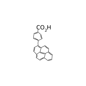 O=C(O)c1ccc(-c2ccc3ccc4cccc5ccc2c3c45)cc1